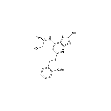 COc1ccccc1CSc1nc(N[C@H](C)CO)c2sc(N)nc2n1